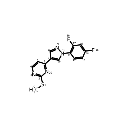 CSc1nccc(-c2cnn(-c3ccc(F)cc3F)c2)n1